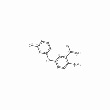 CNc1ccc(Oc2cccc(Cl)c2)cc1C(C)=N